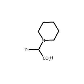 CC(C)C(C(=O)O)N1CCCCC1